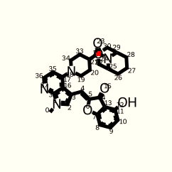 Cn1cc(C=C2Oc3cccc(O)c3C2=O)c2c(N3CCC(C(=O)N4C5CCCC4COC5)CC3)ccnc21